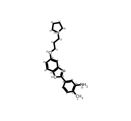 Cc1ccc(-c2nc3cc(OCCCN4CCCC4)ccc3o2)cc1N